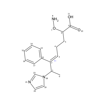 CC(/C(=C/CCC(ON)C(=O)O)c1ccccc1)n1ccnc1